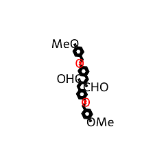 COc1ccc(COc2ccc(/C=C(C=O)\C(C=O)=C/c3ccc(OCc4ccc(OC)cc4)cc3)cc2)cc1